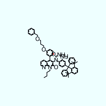 CCCCn1c(=O)c(N(C(N)=O)c2ccc(C(c3ccccc3)(c3ccccc3)c3c(C(C)C)cccc3C(C)C)cc2N)c(-c2cccc(OCCCOCc3ccccc3)c2)c2cccnc21